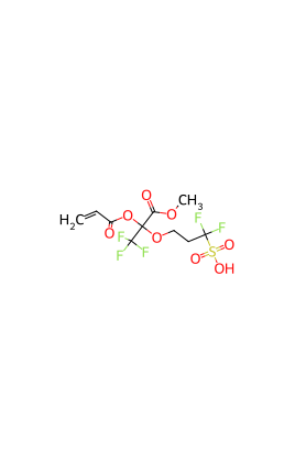 C=CC(=O)OC(OCCC(F)(F)S(=O)(=O)O)(C(=O)OC)C(F)(F)F